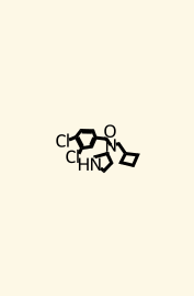 O=C(c1ccc(Cl)c(Cl)c1)N(CC1CCC1)C1CCNC1